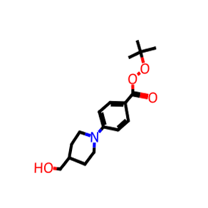 CC(C)(C)OOC(=O)c1ccc(N2CCC(CO)CC2)cc1